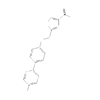 O=C(O)c1csc(COc2ccc(-c3ccc(Cl)cc3)cc2)n1